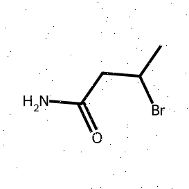 CC(Br)CC(N)=O